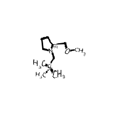 COC[C@@H]1CCCN1C[Si](C)(C)C